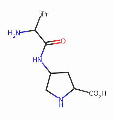 CC(C)C(N)C(=O)NC1CNC(C(=O)O)C1